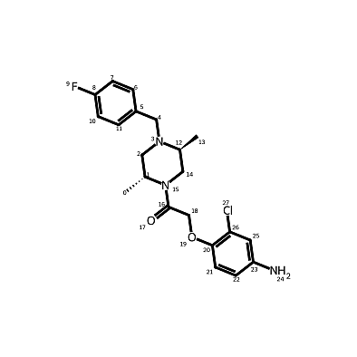 C[C@@H]1CN(Cc2ccc(F)cc2)[C@@H](C)CN1C(=O)COc1ccc(N)cc1Cl